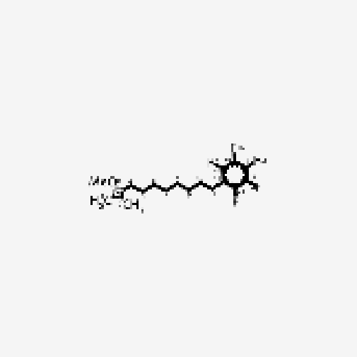 CO[Si](C)(C)CCCCCCCCc1c(F)c(F)c(F)c(F)c1F